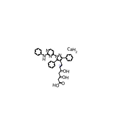 O=C(O)C[C@H](O)C[C@H](O)/C=C/c1c(-c2ccccc2)nn(-c2ccnc(Nc3ccccc3)n2)c1-c1ccccc1.[CaH2]